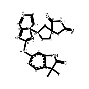 CC1(C)C(=O)Nc2cc(NC3=N[N+]4(N5CC[C@@]6(CC(=O)NC6=O)C5)C=CN=CC4=N3)ccc21